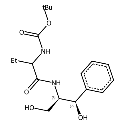 CCC(NC(=O)OC(C)(C)C)C(=O)N[C@H](CO)[C@H](O)c1ccccc1